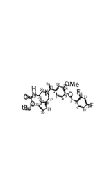 C=C(c1ccc(OCc2ccc(F)cc2F)c(OC)c1)N(CCNC(=O)OC(C)(C)C)Cc1cccs1